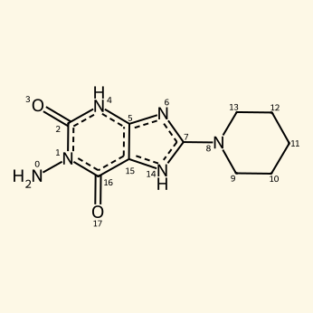 Nn1c(=O)[nH]c2nc(N3CCCCC3)[nH]c2c1=O